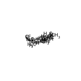 C/C=C1\C(OC(=O)NC2CN(CC(F)(F)F)C2)CCC23CC24CCC2(C)[C@H]5CCC(C(OC(=O)N(C)C)C(C)C)OC5[C@H](O)[C@@]2(C)C4CC[C@@H]13